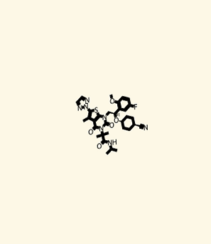 COc1ccc(F)cc1[C@H](Cn1c(=O)n(C(C)(C)C(=O)NC(C)C)c(=O)c2c(C)c(-n3nccn3)sc21)O[C@H]1CC[C@H](C#N)CC1